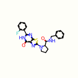 O=C(NCc1ccccc1)C1CCCN1c1nc2c(=O)[nH]c(-c3ccccc3F)nc2s1